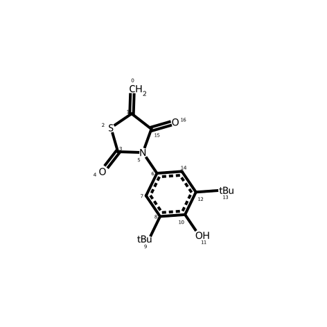 C=C1SC(=O)N(c2cc(C(C)(C)C)c(O)c(C(C)(C)C)c2)C1=O